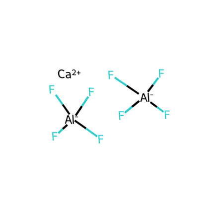 [Ca+2].[F][Al-]([F])([F])[F].[F][Al-]([F])([F])[F]